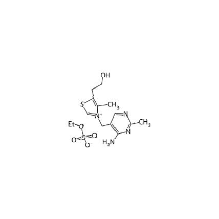 CCOS(=O)(=O)[O-].Cc1ncc(C[n+]2csc(CCO)c2C)c(N)n1